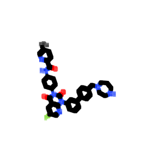 CCCCc1ccc(C(=O)N[C@H]2CC[C@@H](n3c(=O)c4cc(F)cnc4n(-c4cccc(-c5ccc(CN6CCCNCC6)cc5)c4)c3=O)CC2)nc1